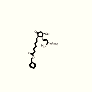 CCCCC[C@H](C)/C=C/[C@H]1[C@H](O)CC(=O)[C@@H]1CCCCCCC(=O)OCc1ccccc1